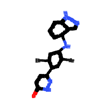 CCc1cc(Nc2cccc3[nH]ncc23)c(C(C)=O)cc1-c1ccc(=O)[nH]n1